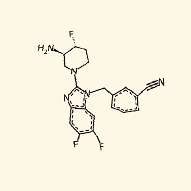 N#Cc1cccc(Cn2c(N3CC[C@@H](F)[C@H](N)C3)nc3cc(F)c(F)cc32)c1